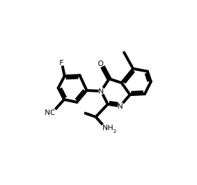 Cc1cccc2nc(C(C)N)n(-c3cc(F)cc(C#N)c3)c(=O)c12